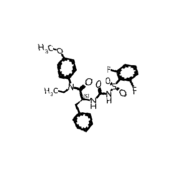 CCN(C(=O)[C@H](Cc1ccccc1)NC(=O)NS(=O)(=O)c1c(F)cccc1F)c1ccc(OC)cc1